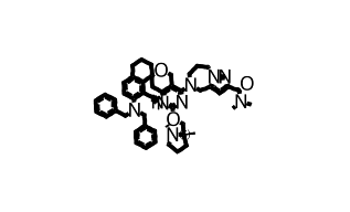 CN(C)C(=O)c1cc2n(n1)CCCN(c1nc(OC[C@]3(C)CCCN3C)nc3c1COC1(CCCc4ccc(N(Cc5ccccc5)Cc5ccccc5)c(C#N)c41)C3)C2